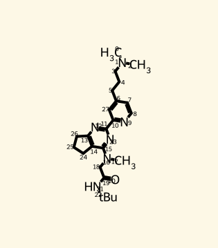 CN(C)CCCc1ccnc(-c2nc3c(c(N(C)CC(=O)NC(C)(C)C)n2)CCC3)c1